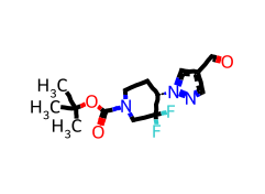 CC(C)(C)OC(=O)N1CC[C@H](n2cc(C=O)cn2)C(F)(F)C1